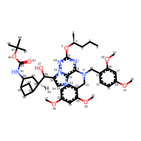 CCC[C@H](C)Oc1nc(N(Cc2ccc(OC)cc2OC)Cc2ccc(OC)cc2OC)c2ncc(C(O)[C@@H]3CC(NC(=O)OC(C)(C)C)C4CC3C4)n2n1